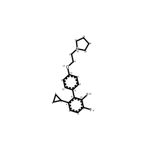 Fc1ccc(C2CC2)c(-c2ccc(OCCN3CCCC3)cc2)c1F